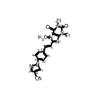 CCn1c(=O)c2c(nc(C=Cc3ccc(-n4cc(C#N)cn4)cc3)n2C)n(CC)c1=O